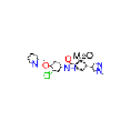 COc1cc(-c2cnn(C)c2)ccc1C(=O)Nc1ccc(OCc2ccccn2)c(Cl)c1